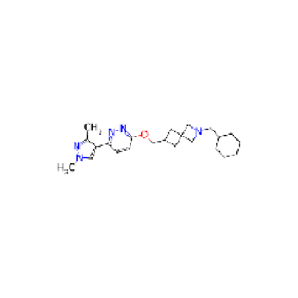 Cc1nn(C)cc1-c1ccc(OCC2CC3(C2)CN(CC2CCCCC2)C3)nn1